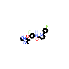 Cc1nc2ccnn2c(Oc2ccc(NC(=O)c3cccc(-c4ccc(F)cc4)n3)cc2F)c1C